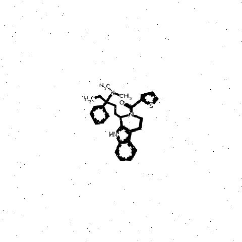 CCC(CCC1c2[nH]c3ccccc3c2CCN1C(=O)c1cccs1)(c1ccccc1)N(C)C